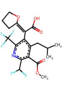 COC(=O)c1c(C(F)F)nc(C(F)(F)F)c(C(C(=O)O)=C2CCCO2)c1CC(C)C